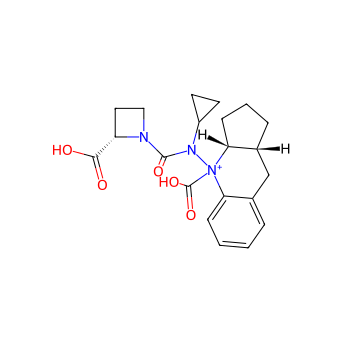 O=C(O)[C@@H]1CCN1C(=O)N(C1CC1)[N+]1(C(=O)O)c2ccccc2C[C@H]2CCC[C@H]21